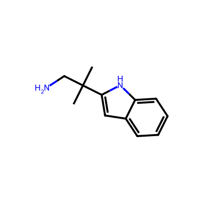 CC(C)(CN)c1cc2ccccc2[nH]1